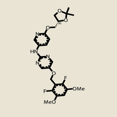 COc1cc(OC)c(F)c(COc2cnc(Nc3ccc(OC[C@@H]4COC(C)(C)O4)nc3)nc2)c1F